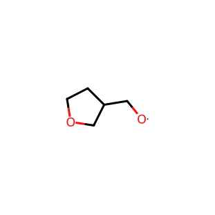 [O]CC1CCOC1